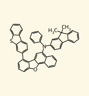 CC1(C)c2ccccc2-c2ccc(N(c3ccccc3)c3cc4c(oc5cccc(-c6ccc7c(c6)sc6ccccc67)c54)c4ccccc34)cc21